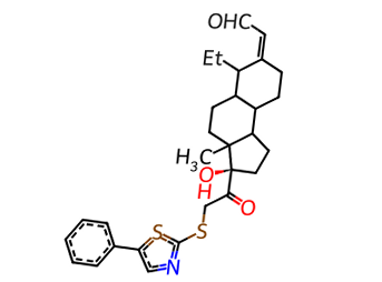 CCC1/C(=C\C=O)CCC2C1CCC1(C)C2CC[C@]1(O)C(=O)CSc1ncc(-c2ccccc2)s1